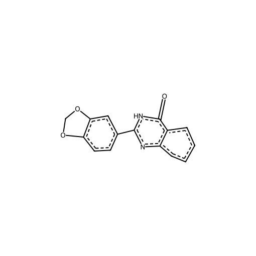 O=c1[nH]c(-c2ccc3c(c2)OCO3)nc2ccccc12